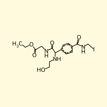 CCOC(=O)CNC(=O)C(NCCO)c1ccc(C(=O)NCI)cc1